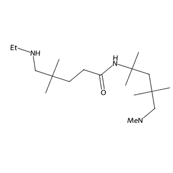 CCNCC(C)(C)CCC(=O)NC(C)(C)CC(C)(C)CNC